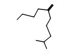 C=C(CCCC)CCCC(N)N